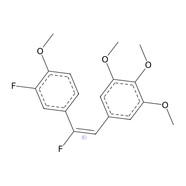 COc1ccc(/C(F)=C\c2cc(OC)c(OC)c(OC)c2)cc1F